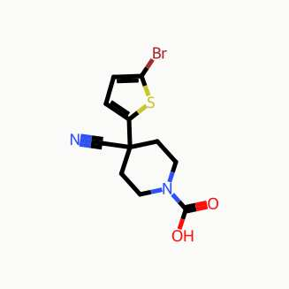 N#CC1(c2ccc(Br)s2)CCN(C(=O)O)CC1